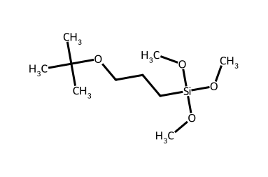 CO[Si](CCCOC(C)(C)C)(OC)OC